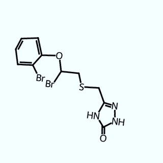 O=c1[nH]nc(CSCC(Br)Oc2ccccc2Br)[nH]1